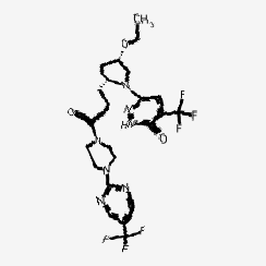 CCO[C@H]1C[C@@H](CCC(=O)N2CCN(c3ncc(C(F)(F)F)cn3)CC2)N(c2cc(C(F)(F)F)c(=O)[nH]n2)C1